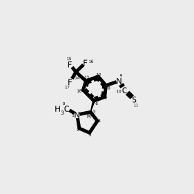 CN1CCC[C@@H]1c1cc(N=C=S)cc(C(F)(F)F)c1